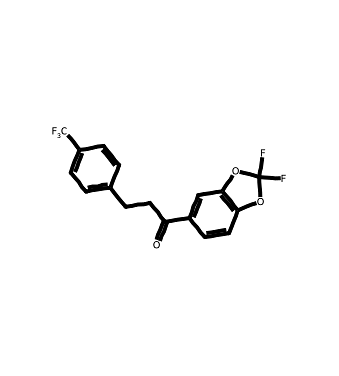 O=C(CCc1ccc(C(F)(F)F)cc1)c1ccc2c(c1)OC(F)(F)O2